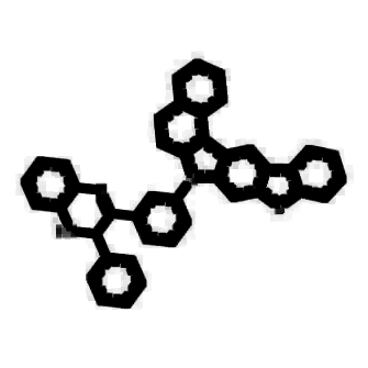 c1ccc(C2Nc3ccccc3N=C2c2cccc(-n3c4cc5sc6ccccc6c5cc4c4c5ccccc5ccc43)c2)cc1